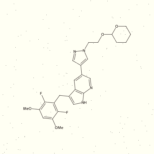 COc1cc(OC)c(F)c(Cc2c[nH]c3ncc(-c4cnn(CCOC5CCCCO5)c4)cc23)c1F